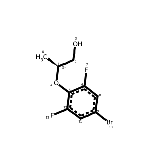 C[C@@H](CO)Oc1c(F)cc(Br)cc1F